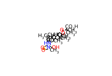 C=C(C)[C@@H]1CC[C@]2(NC[C@H]([C@@H](C)O)N3CCS(=O)(=O)CC3)CC[C@]3(C)[C@H](CC[C@@H]4[C@@]5(C)CC[C@H](OC(=O)[C@@H]6[C@H](C(=O)O)C6(C)C)C(C)(C)[C@@H]5CC[C@]43C)[C@@H]12